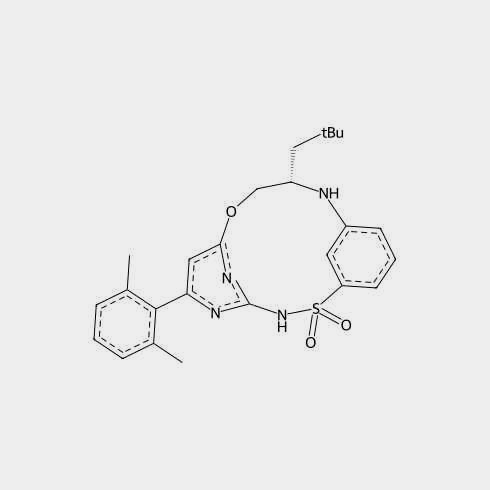 Cc1cccc(C)c1-c1cc2nc(n1)NS(=O)(=O)c1cccc(c1)N[C@@H](CC(C)(C)C)CO2